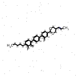 C/C=C/C1COC(c2ccc(-c3ccc(-c4ccc(CCCCC)c(F)c4F)cc3)c(F)c2)OC1